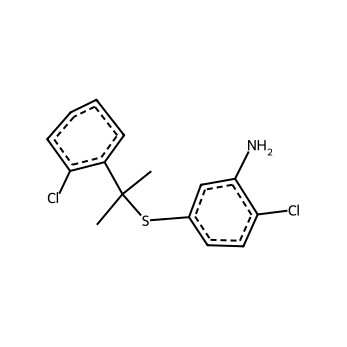 CC(C)(Sc1ccc(Cl)c(N)c1)c1ccccc1Cl